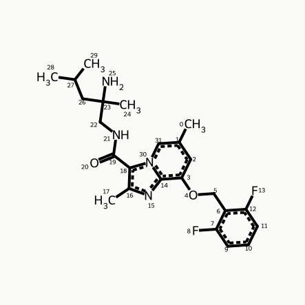 Cc1cc(OCc2c(F)cccc2F)c2nc(C)c(C(=O)NCC(C)(N)CC(C)C)n2c1